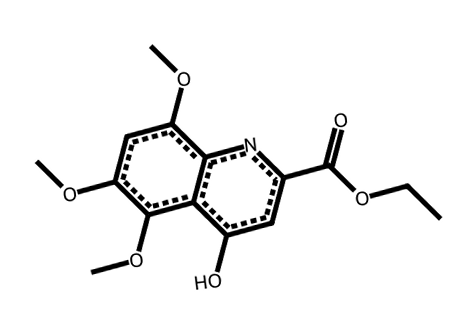 CCOC(=O)c1cc(O)c2c(OC)c(OC)cc(OC)c2n1